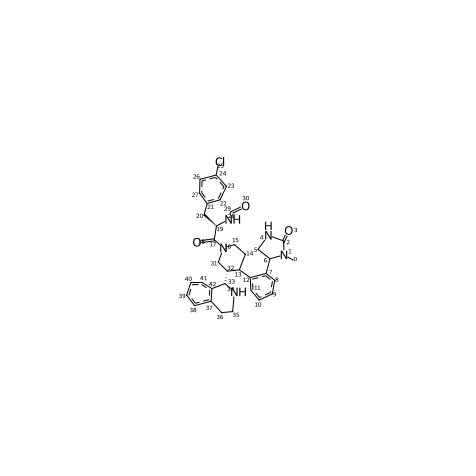 CN1C(=O)NCC1c1ccccc1C1CCN(C(=O)[C@@H](Cc2ccc(Cl)cc2)NC=O)C[C@H]1C1NCCc2ccccc21